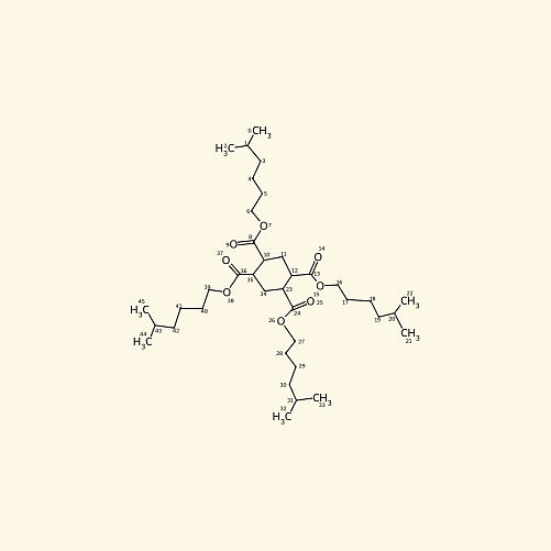 CC(C)CCCCOC(=O)C1CC(C(=O)OCCCCC(C)C)C(C(=O)OCCCCC(C)C)CC1C(=O)OCCCCC(C)C